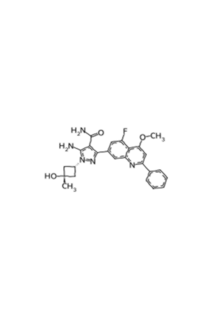 COc1cc(-c2ccccc2)nc2cc(-c3nn([C@H]4C[C@@](C)(O)C4)c(N)c3C(N)=O)cc(F)c12